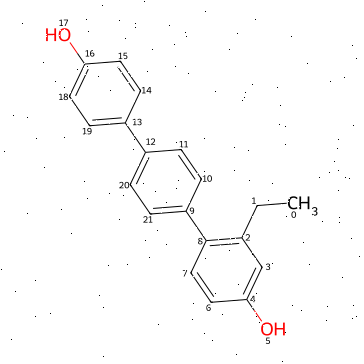 CCc1cc(O)ccc1-c1ccc(-c2ccc(O)cc2)cc1